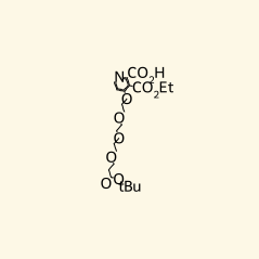 CCOC(=O)c1c(OCCOCCOCCOCCC(=O)OC(C)(C)C)ccnc1C(=O)O